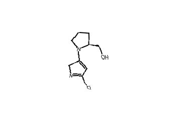 OC[C@@H]1CCCN1C1=CC(Cl)=NC1